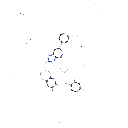 COc1cc(-c2cc3nc(CN4CCc5cc(C(F)(F)F)c(OCc6ccc(Cl)cc6F)nc5C4)n(C[C@@H]4CCO4)c3cn2)ccn1